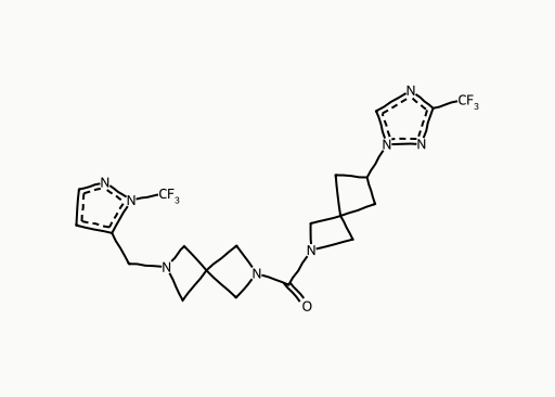 O=C(N1CC2(CC(n3cnc(C(F)(F)F)n3)C2)C1)N1CC2(CN(Cc3ccnn3C(F)(F)F)C2)C1